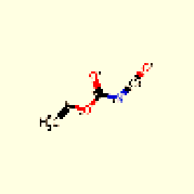 C=COC(=O)N=C=O